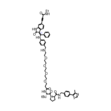 CCNC(=O)C#Cc1ccc2c(c1)NC(=O)/C2=C(\Nc1ccc(CNCCOCCOCCOCCOCCC(=O)N[C@H](C(=O)N2CCCC2C(=O)NCc2ccc(-c3scnc3C)cc2)C(C)(C)C)cc1)c1ccccc1